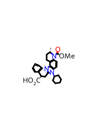 COC(=O)N1c2ccc3c(nc(C[C@@H](C(=O)O)c4ccccc4)n3C3CCCCC3)c2CC[C@@H]1C